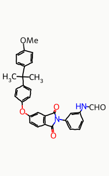 COc1ccc(C(C)(C)c2ccc(Oc3ccc4c(c3)C(=O)N(c3cccc(NC=O)c3)C4=O)cc2)cc1